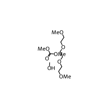 CO.COC(=O)OC.COCCOCCOCCOC